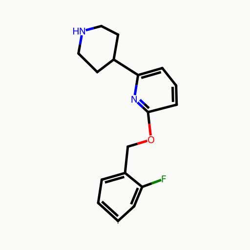 Fc1c[c]ccc1COc1cccc(C2CCNCC2)n1